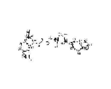 Nc1ccc2[nH]cc(CCCCN3CCN(c4ccc5occc5c4)CC3)c2c1